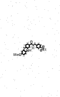 CCS(=O)(=O)c1ccc(CNC(=O)c2ccc3c(c2)Nc2ccc(OC)cc2S3)cc1